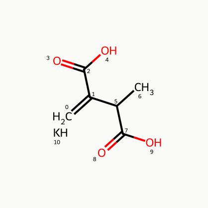 C=C(C(=O)O)C(C)C(=O)O.[KH]